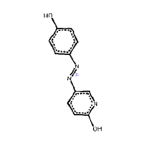 Oc1ccc(/N=N/c2ccc(O)nc2)cc1